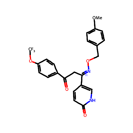 COc1ccc(CO/N=C(\CC(=O)c2ccc(OC(F)(F)F)cc2)c2ccc(=O)[nH]c2)cc1